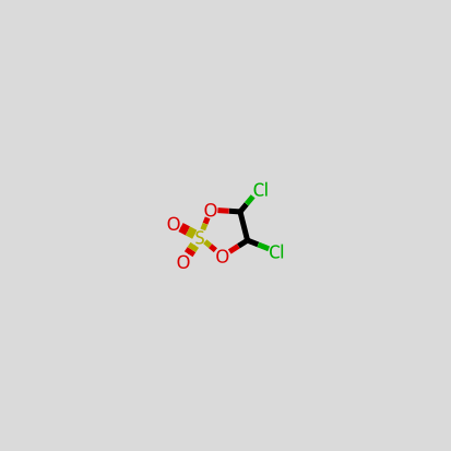 O=S1(=O)OC(Cl)C(Cl)O1